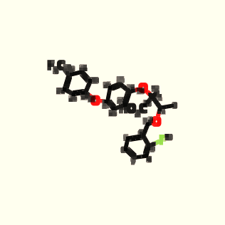 CC(OCc1ccccc1F)C(C)(Oc1ccc(Oc2ccc(C(F)(F)F)cc2)cc1)C(=O)O